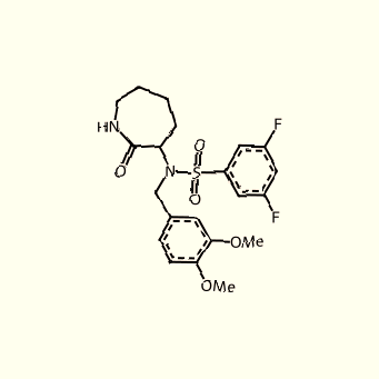 COc1ccc(CN(C2CCCCNC2=O)S(=O)(=O)c2cc(F)cc(F)c2)cc1OC